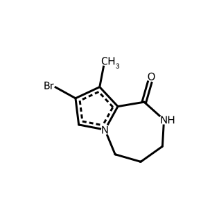 Cc1c(Br)cn2c1C(=O)NCCC2